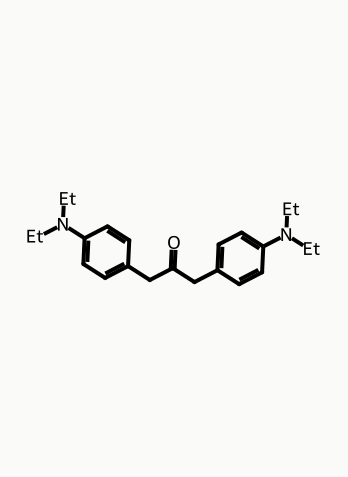 CCN(CC)c1ccc(CC(=O)Cc2ccc(N(CC)CC)cc2)cc1